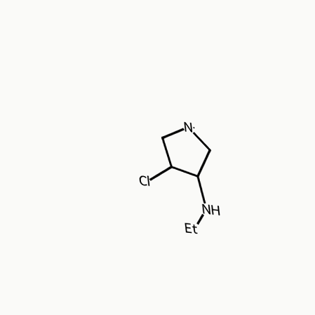 CCNC1C[N]CC1Cl